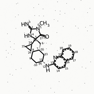 CN1C(=N)N[C@@](C[C@H]2CCC[C@@H](Nc3ccc4ccccc4n3)C2)(C2CC2)C1=O